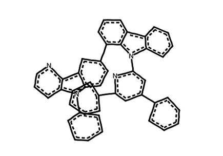 c1ccc(-c2cc(-c3ccccc3)nc(-n3c4ccccc4c4cccc(-c5ccc6c(c5)c5ncccc5n6-c5ccccc5)c43)c2)cc1